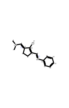 CN(C)/C=C1\CCC(/C=N/c2ccccc2)=C1Cl